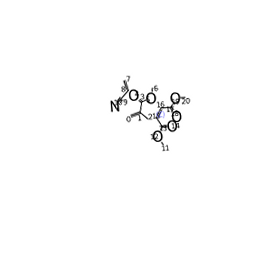 C=C(C)C(=O)OC.C=CC#N.COC(=O)/C=C\C(=O)OC